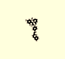 COc1cccc(CN(C(=O)Cc2ccc(F)cc2F)c2ccc(OCc3ccc4ccccc4n3)cc2)n1